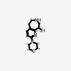 CCC1CNCCc2ccc(N3CCOCC3)nc21